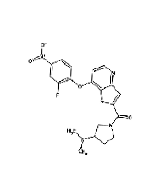 CN(C)C1CCN(C(=O)c2cc3nccc(Oc4ccc([N+](=O)[O-])cc4F)c3s2)C1